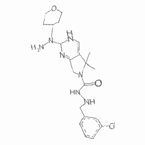 CC1(C)C2=CNC(N(N)C3CCOCC3)N=C2CN1C(=O)NNCc1cccc(Cl)c1